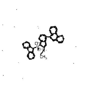 CCCC1=Cc2c(-c3cc4ccccc4c4ccccc34)cccc2C1[Si](C)(C)C1c2ccccc2-c2ccccc21